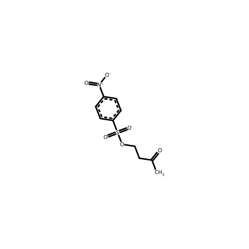 CC(=O)CCOS(=O)(=O)c1ccc([N+](=O)[O-])cc1